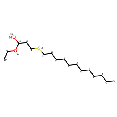 CCCCCCCCCCCCSCCC(O)OCC